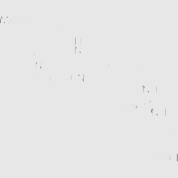 COc1ccc2c(NCCc3ccc(NC(=O)Nc4cccc(Cl)c4)cc3)c(C#N)cnc2c1